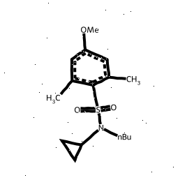 CCCCN(C1CC1)S(=O)(=O)c1c(C)cc(OC)cc1C